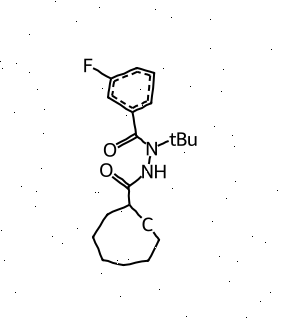 CC(C)(C)N(NC(=O)C1CCCCCCC1)C(=O)c1cccc(F)c1